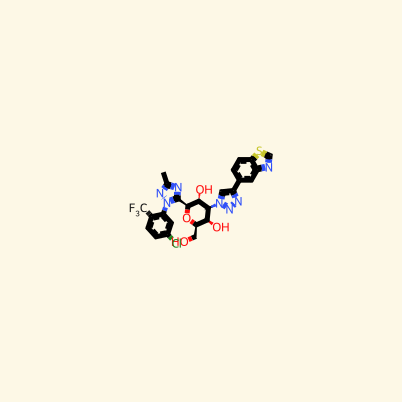 Cc1nc([C@@H]2O[C@H](CO)[C@H](O)[C@H](n3cc(-c4ccc5scnc5c4)nn3)[C@H]2O)n(-c2cc(Cl)ccc2C(F)(F)F)n1